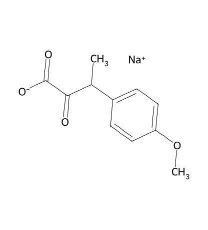 COc1ccc(C(C)C(=O)C(=O)[O-])cc1.[Na+]